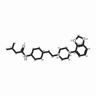 CC(C)CC(=O)NC1CCC(CCN2CCN(c3cccc4c3OCO4)CC2)CC1